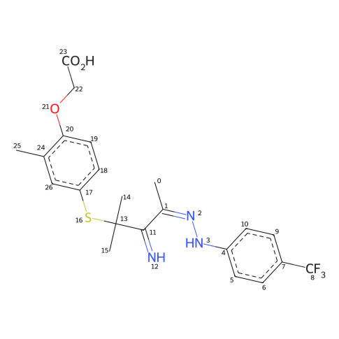 C/C(=N/Nc1ccc(C(F)(F)F)cc1)C(=N)C(C)(C)Sc1ccc(OCC(=O)O)c(C)c1